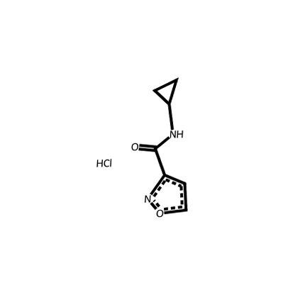 Cl.O=C(NC1CC1)c1ccon1